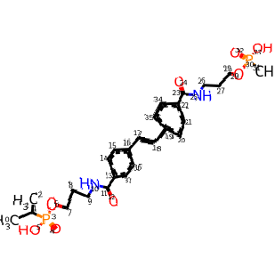 CC(C)P(=O)(O)OCCCNC(=O)c1ccc(/C=C/c2ccc(C(=O)NCCCOP(C)(=O)O)cc2)cc1